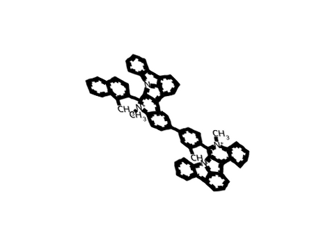 Cc1cc(-c2ccc3c(c2)c2c4cccc5c6ccccc6n(c2c(-c2ccc6ccccc6c2C)[n+]3C)c54)ccc1-c1c2c(c3cccc4c5ccccc5n2c43)c2ccccc2[n+]1C